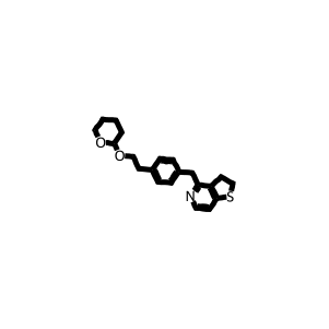 c1cc2c(c(Cc3ccc(CCOC4CCCCO4)cc3)n1)CCS2